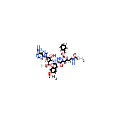 COc1ccc(CC(NC(=O)C(CCCCNC(C)=O)NC(=O)OCc2ccccc2)C(=O)NC2[C@@H](CO)O[C@@H](n3cnc4c(N)ncnc43)[C@H]2O)cc1